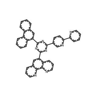 c1ccc(-c2ccc(-c3nc(-c4cc5ccccc5c5ccccc45)nc(-c4cc5cccnc5c5ncccc45)n3)cn2)nc1